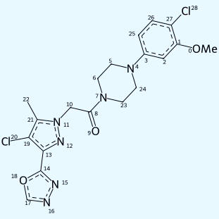 COc1cc(N2CCN(C(=O)Cn3nc(-c4nnco4)c(Cl)c3C)CC2)ccc1Cl